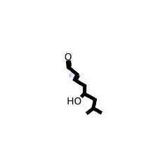 CC(C)CC(O)C/C=C/C=O